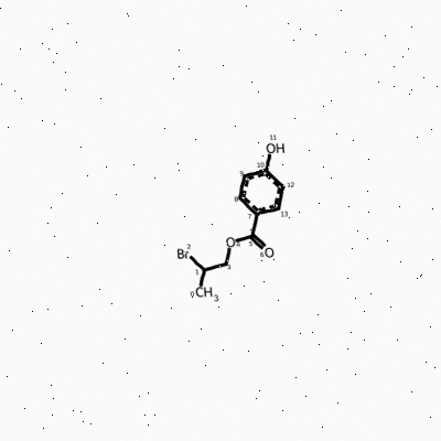 CC(Br)COC(=O)c1ccc(O)cc1